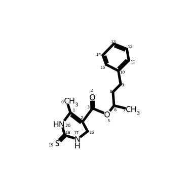 CC1=C(C(=O)OC(C)CCc2ccccc2)CNC(=S)N1